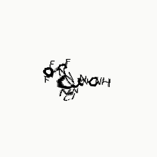 Fc1ccc(F)c([C@H]2C[C@H](F)CN2c2ccc3nc(Cl)nc(-c4cnn(C5CCNCC5)c4)c3n2)c1